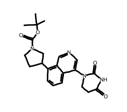 CC(C)(C)OC(=O)N1CCC(c2cccc3c(N4CCC(=O)NC4=O)cncc23)C1